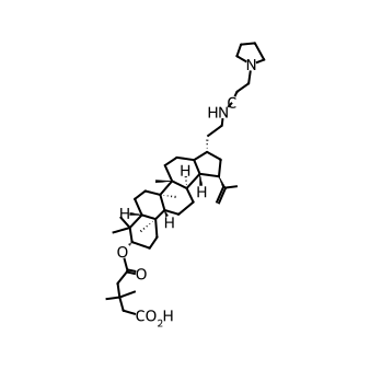 C=C(C)[C@@H]1C[C@@H](CCNCCCN2CCCC2)C2CC[C@]3(C)[C@H](CC[C@@H]4[C@@]5(C)CC[C@H](OC(=O)CC(C)(C)CC(=O)O)C(C)(C)[C@@H]5CC[C@]43C)[C@H]21